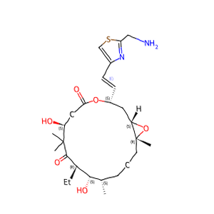 CC[C@H]1C(=O)C(C)(C)[C@@H](O)CC(=O)O[C@H](/C=C/c2csc(CN)n2)C[C@@H]2O[C@]2(C)CCC[C@H](C)[C@@H]1O